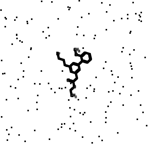 CCOC(=O)Cc1cc(CCCBr)cc(-c2ccccc2OC)c1